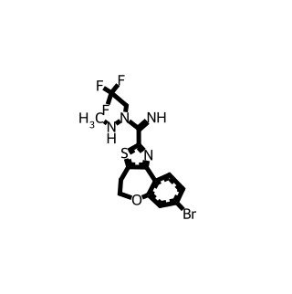 CNN(CC(F)(F)F)C(=N)c1nc2c(s1)CCOc1cc(Br)ccc1-2